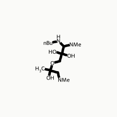 CCCCNC(NC)C(O)(O)COC(C)(O)CNC